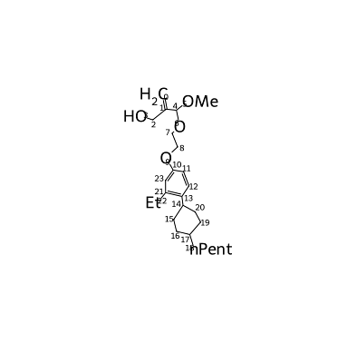 C=C(CO)C(OC)OCCOc1ccc(C2CCC(CCCCC)CC2)c(CC)c1